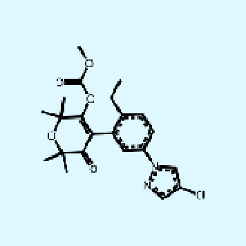 CCc1ccc(-n2cc(Cl)cn2)cc1C1=C(OC(=O)OC)C(C)(C)OC(C)(C)C1=O